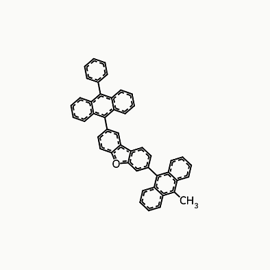 Cc1c2ccccc2c(-c2ccc3c(c2)oc2ccc(-c4c5ccccc5c(-c5ccccc5)c5ccccc45)cc23)c2ccccc12